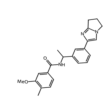 COc1cc(C(=O)NC(C)c2cccc(-c3cn4c(n3)CCC4)c2)ccc1C